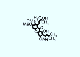 COc1cc2oc3cc(OC)c(OC)c(/C=C/C(C)(C)O)c3c(=O)c2c(O)c1CC=C(C)C